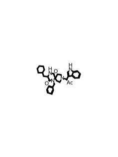 CC(=O)C(c1c[nH]c2ccccc12)N1CCC2(CC1)C(=O)NC(CC1CCCCC1)C(=O)N2Cc1ccccc1